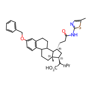 CCCC(C(=O)O)[C@@H]1C[C@@H](CCC(=O)Nc2ncc(C)s2)C2C3CCc4cc(OCc5ccccc5)ccc4C3CC[C@]21C